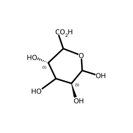 O=C(O)C1OC(O)[C@@H](O)C(O)[C@@H]1O